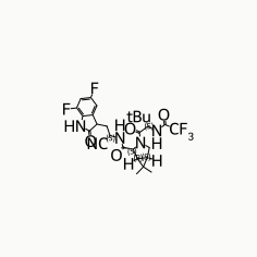 CC(C)(C)[C@H](NC(=O)C(F)(F)F)C(=O)N1C[C@H]2[C@@H]([C@H]1C(=O)N[C@H](C#N)CC1C(=O)Nc3c(F)cc(F)cc31)C2(C)C